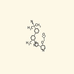 Cc1ccc(-c2cccc(C(C)(C)C#N)c2)cc1-n1cc(-c2cnccc2OCC2COC2)cn1